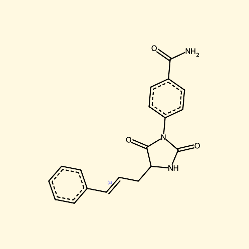 NC(=O)c1ccc(N2C(=O)NC(C/C=C/c3ccccc3)C2=O)cc1